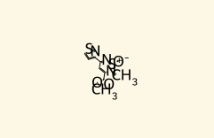 COC(=O)C1=CC(c2ccsn2)=N[S+]([O-])N1C